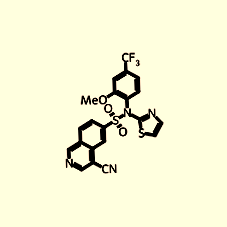 COc1cc(C(F)(F)F)ccc1N(c1nccs1)S(=O)(=O)c1ccc2cncc(C#N)c2c1